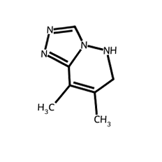 CC1=C(C)c2nncn2NC1